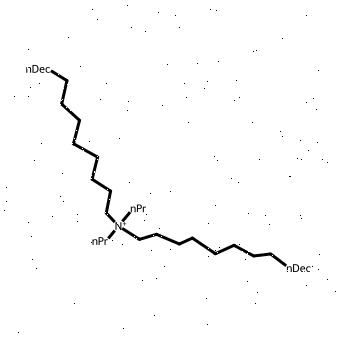 CCCCCCCCCCCCCCCCCC[N+](CCC)(CCC)CCCCCCCCCCCCCCCCCC